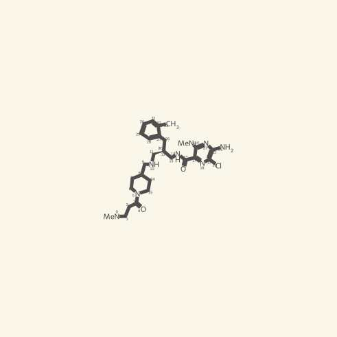 CNCCC(=O)N1CCC(CNC[C@H](CNC(=O)c2nc(Cl)c(N)nc2NC)Cc2ccccc2C)CC1